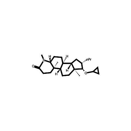 CCC[C@H]1C[C@H]2[C@@H]3CC[C@H]4N(C)C(=O)CC[C@]4(C)[C@H]3CC[C@]2(C)[C@H]1OC1CC1